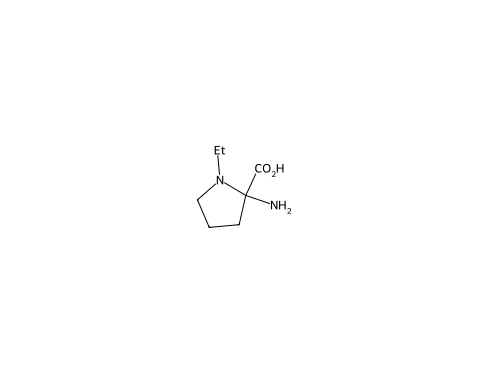 CCN1CCCC1(N)C(=O)O